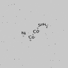 [Co].[Co].[Ni].[SnH2]